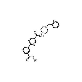 CC(C)OC(=O)c1cccc(-c2ncc(C(=O)NC3CCN(Cc4ccccn4)CC3)cn2)c1